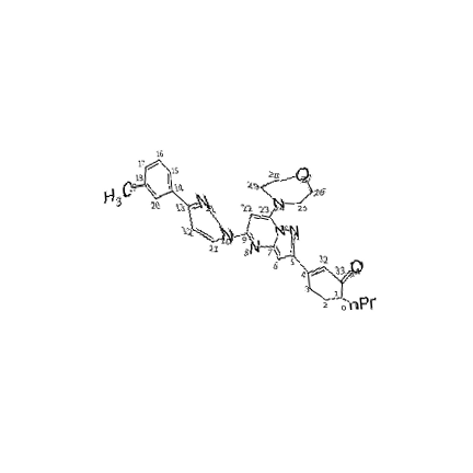 CCCC1CCC(c2cc3nc(-n4ccc(-c5cccc(C)c5)n4)cc(N4CCOCC4)n3n2)=CC1=O